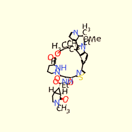 CCO[C@@H]1c2nc(cs2)-c2ccc3c(c2)c(c(-c2cccnc2[C@H](C)OC)n3CC)CC(C)(C)COC(=O)[C@@H]2CCCN(N2)C(=O)[C@H]1NC(=O)[C@H]1[C@@H]2CCN(C)C(=O)[C@@H]21